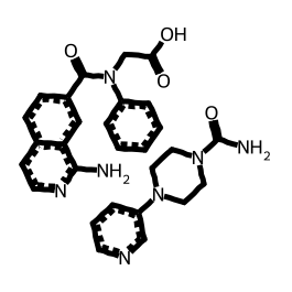 NC(=O)N1CCN(c2cccnc2)CC1.Nc1nccc2ccc(C(=O)N(CC(=O)O)c3ccccc3)cc12